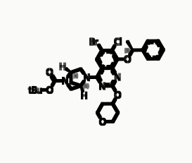 C[C@H](Oc1c(Cl)c(Br)cc2c(N3C[C@@H]4C[C@H]3CN4C(=O)OC(C)(C)C)nc(OC3CCOCC3)nc12)c1ccccc1